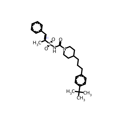 C/C(=C\c1ccccc1)S(=O)(=O)NC(=O)N1CCC(CCCc2ccc(C(C)(C)C)cc2)CC1